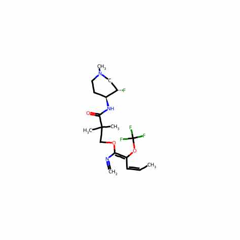 C=N/C(OCC(C)(C)C(=O)N[C@H]1CCN(C)C[C@@H]1F)=C(\C=C/C)OC(F)(F)F